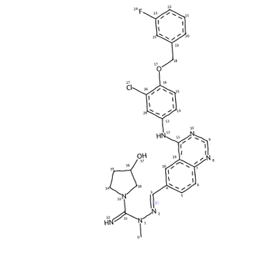 CN(/N=C/c1ccc2ncnc(Nc3ccc(OCc4cccc(F)c4)c(Cl)c3)c2c1)C(=N)N1CCC(O)C1